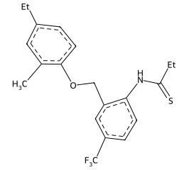 CCC(=S)Nc1ccc(C(F)(F)F)cc1COc1ccc(CC)cc1C